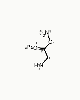 NCC(=O)O[N+](=O)[O-].[Pd]